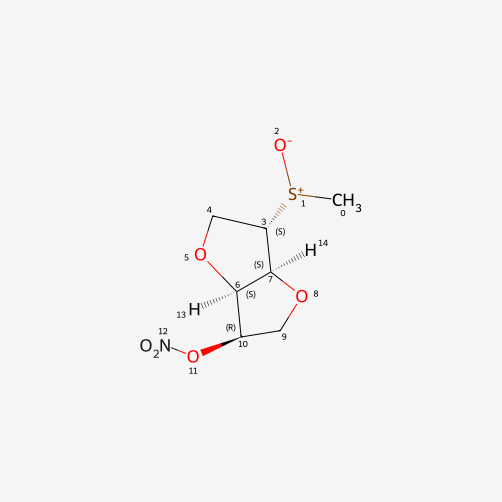 C[S+]([O-])[C@H]1CO[C@H]2[C@@H]1OC[C@H]2O[N+](=O)[O-]